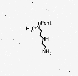 CCCCCN(C)CCNCCN